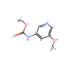 CC(C)(C)OC(=O)Nc1cncc(OC(F)(F)F)c1